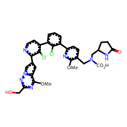 COc1nc(-c2cccc(-c3ccnc(-c4cc5c(OC)nc(CO)nn5c4)c3Cl)c2Cl)ccc1CN(CC1CCC(=O)N1)C(=O)O